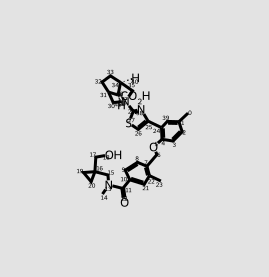 Cc1ccc(OCc2ccc(C(=O)N(C)CC3(CO)CC3)cc2C)c(-c2csc(N3CC4CC[C@@H](C3)[C@H]4C(=O)O)n2)c1